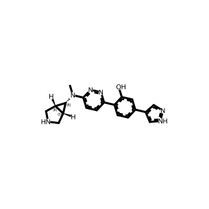 CN(c1ccc(-c2ccc(-c3cn[nH]c3)cc2O)nn1)[C@@H]1[C@@H]2CNC[C@@H]21